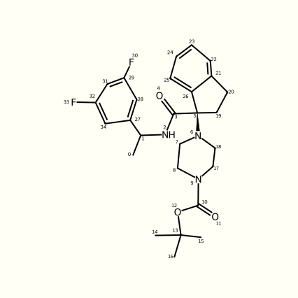 CC(NC(=O)[C@@]1(N2CCN(C(=O)OC(C)(C)C)CC2)CCc2ccccc21)c1cc(F)cc(F)c1